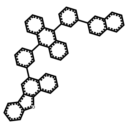 c1cc(-c2ccc3ccccc3c2)cc(-c2c3ccccc3c(-c3cccc(-c4cc5c6ccccc6oc5c5ccccc45)c3)c3ccccc23)c1